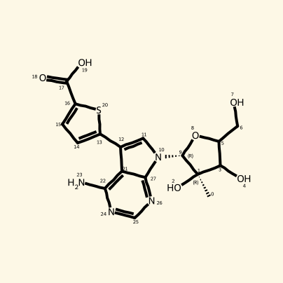 C[C@@]1(O)C(O)C(CO)O[C@H]1n1cc(-c2ccc(C(=O)O)s2)c2c(N)ncnc21